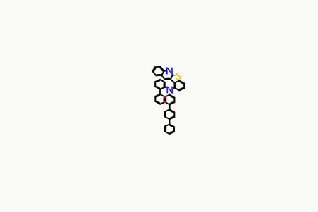 c1ccc(-c2ccc(-c3ccc(N(c4ccccc4-c4ccccc4)c4cccc5sc6nc7ccccc7cc6c45)cc3)cc2)cc1